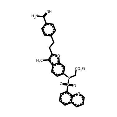 CCOC(=O)CN(c1ccc2c(C)c(CCc3ccc(C(=N)N)cc3)oc2c1)S(=O)(=O)c1cccc2cccnc12